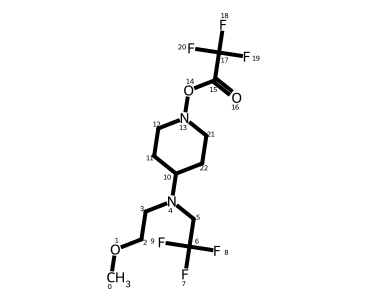 COCCN(CC(F)(F)F)C1CCN(OC(=O)C(F)(F)F)CC1